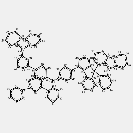 c1ccc(-c2cccc(-c3ccccc3N(c3ccc(-c4cccc(-n5c6ccccc6c6ccccc65)c4)cc3)c3ccc(-c4cccc5c4-c4ccccc4C54c5ccccc5-n5c6ccccc6c6cccc4c65)cc3)c2)cc1